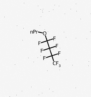 CCCOC(F)(F)C(F)(F)C(F)(F)C(F)(F)F